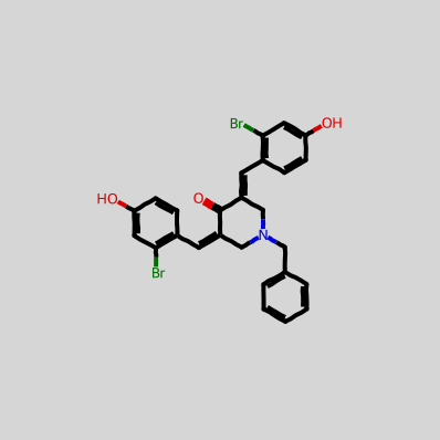 O=C1C(=Cc2ccc(O)cc2Br)CN(Cc2ccccc2)CC1=Cc1ccc(O)cc1Br